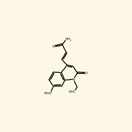 COc1ccc2c(/C=C/C(N)=O)cc(=O)n(CC=O)c2c1